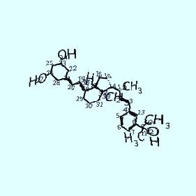 C[C@H](/C=C/c1cccc(C(C)(C)O)c1)[C@H]1CC[C@H]2/C(=C/C=C3C[C@@H](O)C[C@H](O)C3)CCC[C@]12C